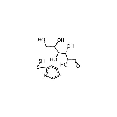 O=C[C@H](O)[C@@H](O)[C@@H](O)[C@H](O)CO.SSc1ccccn1